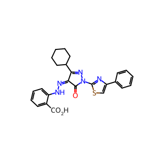 O=C(O)c1ccccc1N/N=C1\C(=O)N(c2nc(-c3ccccc3)cs2)N=C1C1CCCCC1